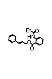 CCC(=O)Nc1ccccc1C(=O)OCC=Cc1ccccc1